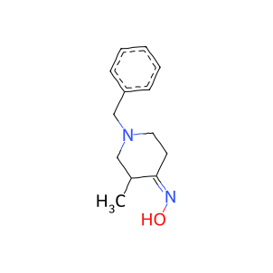 CC1CN(Cc2ccccc2)CC/C1=N/O